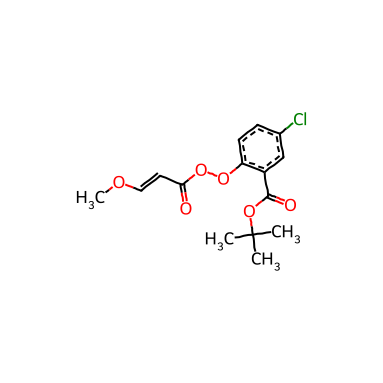 COC=CC(=O)OOc1ccc(Cl)cc1C(=O)OC(C)(C)C